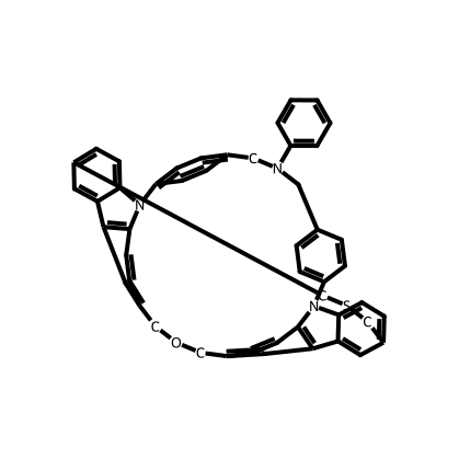 c1ccc(N2Cc3ccc(cc3)-n3c4ccc5cc4c4cc(ccc43)CSCc3ccc4c(c3)c3cc(ccc3n4-c3ccc(cc3)C2)COC5)cc1